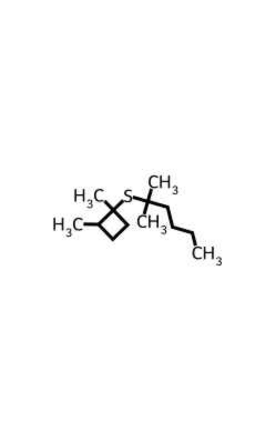 CCCCC(C)(C)SC1(C)CCC1C